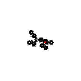 c1ccc(-c2cccc(-n3c4ccccc4c4cccc(-n5c6ccccc6c6ccc(-c7nc(-c8ccc9c(c8)oc8ccccc89)nc(-c8cccc9c8oc8ccccc89)n7)cc65)c43)c2)cc1